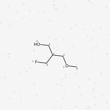 COCC(CO)CF